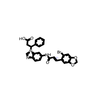 O=C(O)CC(c1ccccc1)n1cnc2ccc(NC(=O)/C=C/c3cc4c(cc3Br)OCO4)cc21